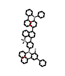 C[Si]1(C)c2cc(N(c3ccccc3)c3c(F)cc(-c4ccccc4)cc3-c3ccccc3)ccc2-c2ccc(-c3ccc(N(c4ccccc4)c4ccccc4-c4ccccc4)cc3)c3cccc1c23